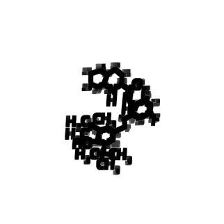 CC(C)(C)c1cc(CCc2cc(F)cc(F)c2NC(=O)C2CCC3CCCCC3N2)cc(C(C)(C)C)c1O